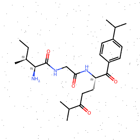 CC[C@H](C)[C@H](N)C(=O)NCC(=O)N[C@@H](CCC(=O)C(C)C)C(=O)c1ccc(C(C)C)cc1